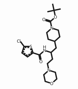 CC(C)(C)OC(=O)N1CCC(CC(CCN2CCOCC2)NC(=O)c2ccc(Cl)s2)CC1